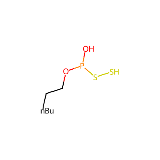 CCCCCCOP(O)SS